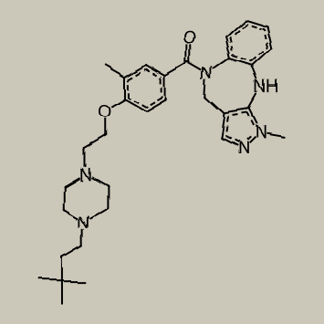 Cc1cc(C(=O)N2Cc3cnn(C)c3Nc3ccccc32)ccc1OCCN1CCN(CCC(C)(C)C)CC1